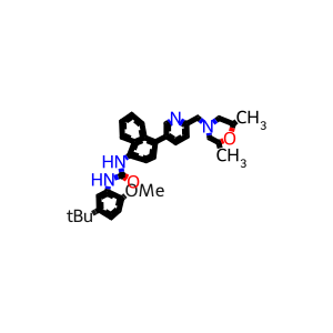 COc1ccc(C(C)(C)C)cc1NC(=O)Nc1ccc(-c2ccc(CN3CC(C)OC(C)C3)nc2)c2ccccc12